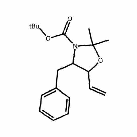 C=CC1OC(C)(C)N(C(=O)OC(C)(C)C)C1Cc1ccccc1